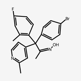 C/C(=N/O)C(c1ccc(Br)cc1)(c1ccnc(C)c1)c1ccc(F)cc1C